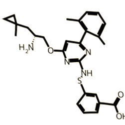 Cc1cccc(C)c1-c1cc(OC[C@H](N)CC2(C)CC2)nc(NSc2cccc(C(=O)O)c2)n1